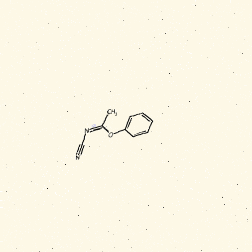 C/C(=N/C#N)Oc1ccccc1